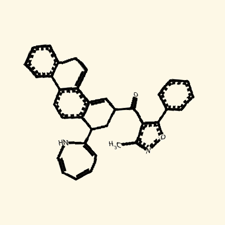 Cc1noc(-c2ccccc2)c1C(=O)C1C=c2c(ccc3c2=CCc2ccccc2-3)C(C2=CC=CC=CN2)C1